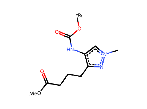 COC(=O)CCCc1nn(C)cc1NC(=O)OC(C)(C)C